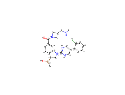 CNCC1CN(C(=O)c2ccc3c([S+](C)[O-])cn(-c4ncc(-c5ccccc5F)cn4)c3c2)C1